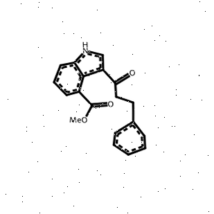 COC(=O)c1cccc2[nH]cc(C(=O)CCc3ccccc3)c12